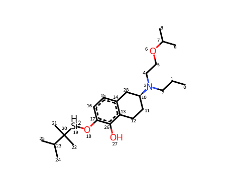 CCCN(CCOC(C)C)[C@H]1CCc2c(ccc(O[SiH2]C(C)(C)C(C)C)c2O)C1